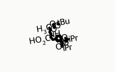 CC(CN[C@@H](Cc1ccc(OC(=O)C(C)C)c(OC(=O)C(C)C)c1)C(=O)O)OC(=O)OC(C)(C)C